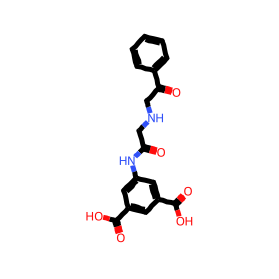 O=C(CNCC(=O)c1ccccc1)Nc1cc(C(=O)O)cc(C(=O)O)c1